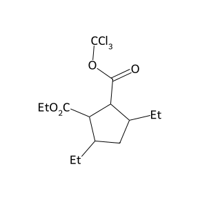 CCOC(=O)C1C(CC)CC(CC)C1C(=O)OC(Cl)(Cl)Cl